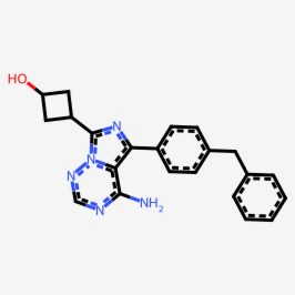 Nc1ncnn2c(C3CC(O)C3)nc(-c3ccc(Cc4ccccc4)cc3)c12